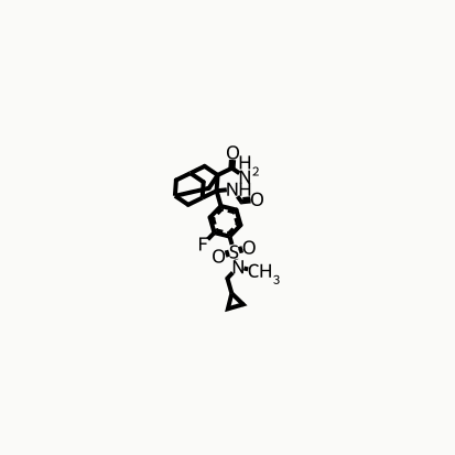 CN(CC1CC1)S(=O)(=O)c1ccc(C2(NC=O)C3CC4CC(C3)CC2(C(N)=O)C4)cc1F